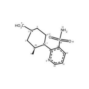 C[C@H]1CN(C(=O)O)CCN1c1ncccc1S(N)(=O)=O